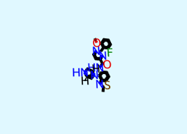 COc1cccc(F)c1-c1nccc(C(=O)Nc2ccc3sc(C)nc3c2N2C[C@H]3C[C@@H]2CN3)n1